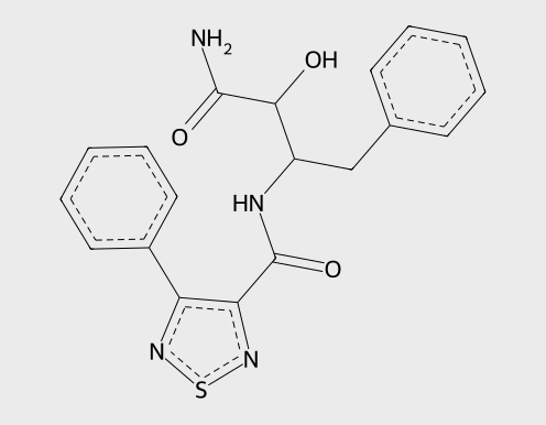 NC(=O)C(O)C(Cc1ccccc1)NC(=O)c1nsnc1-c1ccccc1